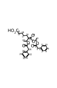 CC(OC(=O)Cc1ccccc1)OC(=O)C(CCCCC(=O)O)C(C)OC(=O)Cc1ccccc1